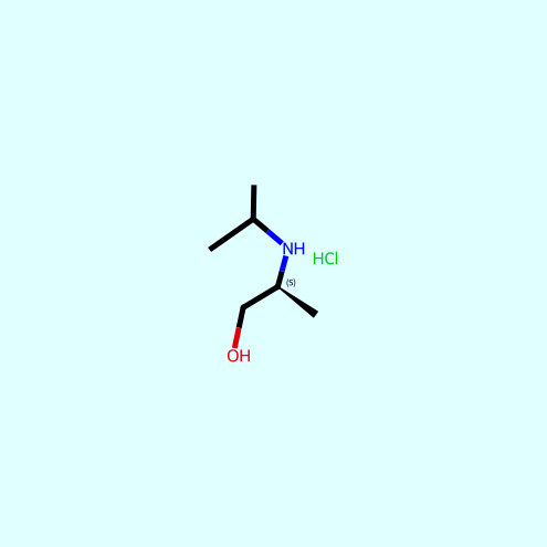 CC(C)N[C@@H](C)CO.Cl